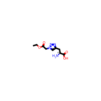 CCOC(=O)Cn1cc(C[C@H](N)C(=O)O)nn1